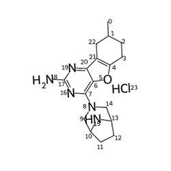 CC1CCc2oc3c(N4CC5CCC(C4)N5)nc(N)nc3c2C1.Cl